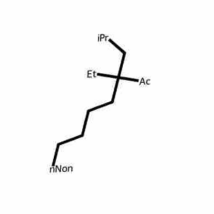 CCCCCCCCCCCCCC(CC)(CC(C)C)C(C)=O